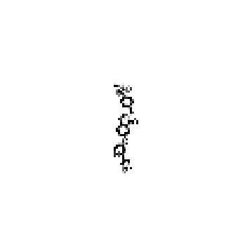 CNS(=O)(=O)c1ccc(Cn2cnc3ccc(Oc4ccnc(-c5cnn(C)c5)c4)cc3c2=O)cc1